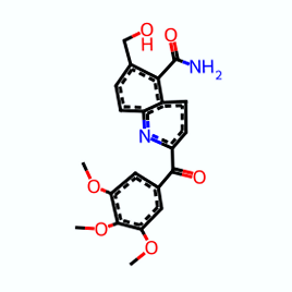 COc1cc(C(=O)c2ccc3c(C(N)=O)c(CO)ccc3n2)cc(OC)c1OC